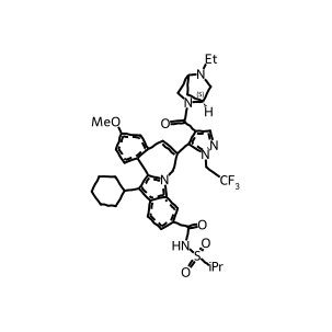 CCN1C[C@@H]2CC1CN2C(=O)c1cnn(CC(F)(F)F)c1C1=Cc2cc(OC)ccc2-c2c(C3CCCCC3)c3ccc(C(=O)NS(=O)(=O)C(C)C)cc3n2C1